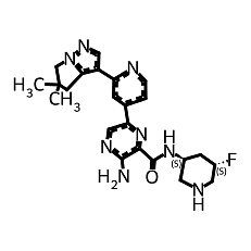 CC1(C)Cc2c(-c3cc(-c4cnc(N)c(C(=O)N[C@@H]5CNC[C@@H](F)C5)n4)ccn3)cnn2C1